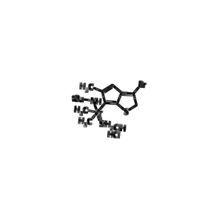 CC1=CC2=C(Br)CSC2=[C]1[Zr]([CH3])([CH3])(=[SiH2])[NH]C(C)(C)C.Cl.Cl